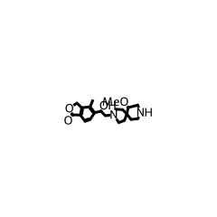 COC1CNCCC12CCN(CC(O)c1ccc3c(c1C)COC3=O)CC2